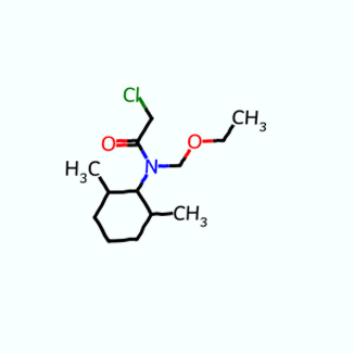 CCOCN(C(=O)CCl)C1C(C)CCCC1C